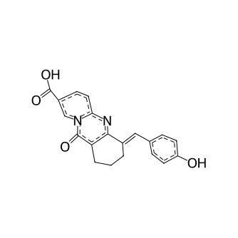 O=C(O)c1ccc2nc3c(c(=O)n2c1)CCCC3=Cc1ccc(O)cc1